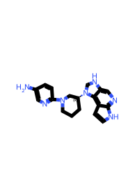 Nc1ccc(N2CCC[C@@H](N3CNc4cnc5[nH]ccc5c43)C2)nc1